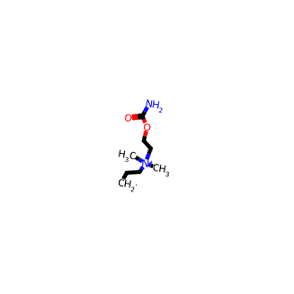 [CH2]CC[N+](C)(C)CCOC(N)=O